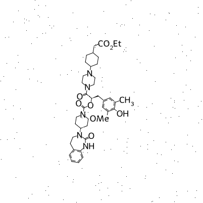 CCOC(=O)CC1CCC(N2CCN(C(=O)[C@@H](Cc3cc(C)c(O)c(OC)c3)OC(=O)N3CCC(N4CCc5ccccc5NC4=O)CC3)CC2)CC1